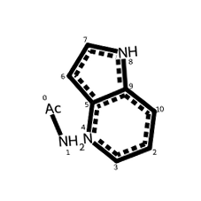 CC(N)=O.c1cnc2cc[nH]c2c1